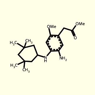 COC(=O)Cc1cc(N)c(NC2CC(C)(C)CC(C)(C)C2)cc1OC